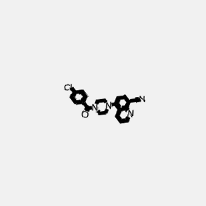 N#Cc1ccc(N2CCN(C(=O)c3ccc(Cl)cc3)CC2)c2cccnc12